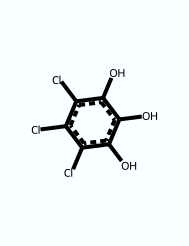 Oc1c(O)c(Cl)c(Cl)c(Cl)c1O